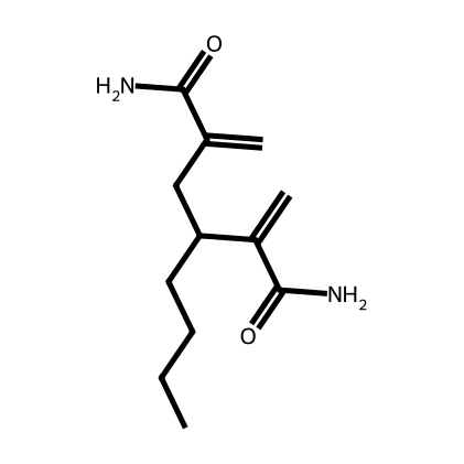 C=C(CC(CCCC)C(=C)C(N)=O)C(N)=O